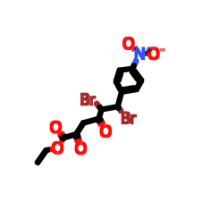 CCOC(=O)C(=O)CC(=O)C(Br)C(Br)c1ccc([N+](=O)[O-])cc1